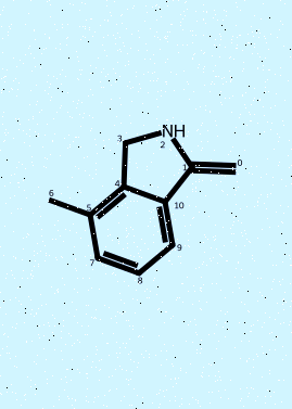 C=C1NCc2c(C)cccc21